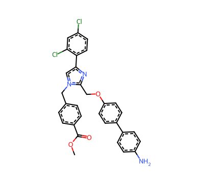 COC(=O)c1ccc(Cn2cc(-c3ccc(Cl)cc3Cl)nc2COc2ccc(-c3ccc(N)cc3)cc2)cc1